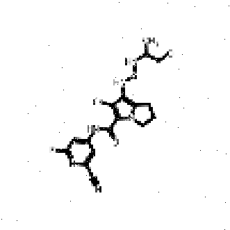 CC(CO)NSNc1c(Cl)c(C(=O)Nc2cc(F)nc(C#N)c2)n2c1CCC2